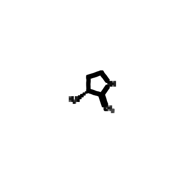 C=C1NCC[C@H]1N